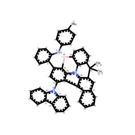 CC(C)(C)c1ccc(Nc2ccccc2-c2cc(-n3c4ccccc4c4ccccc43)c3c4c5ccccc5cc5c4n4c3c2Bc2cccc(c2-4)C5(C)C)cc1